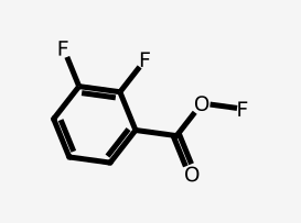 O=C(OF)c1cccc(F)c1F